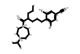 CCCC(CCCc1c(F)cc(C#N)cc1F)C(=O)N1CCCN(C(C)C)CC1